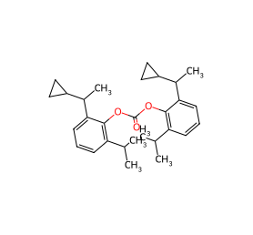 CC(C)c1cccc(C(C)C2CC2)c1OC(=O)Oc1c(C(C)C)cccc1C(C)C1CC1